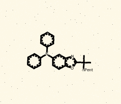 CCCCCC(C)(C)c1nc2cc(N(c3ccccc3)c3ccccc3)ccc2o1